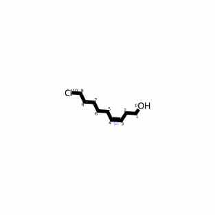 OCC/C=C\CCCCCCl